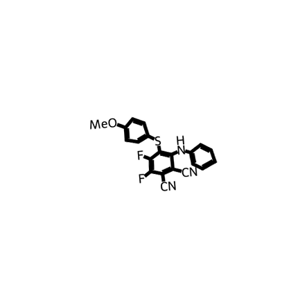 COc1ccc(Sc2c(F)c(F)c(C#N)c(C#N)c2Nc2ccccc2)cc1